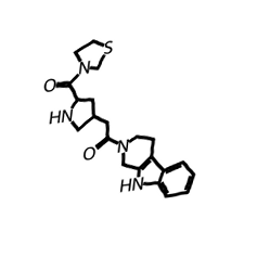 O=C(CC1CNC(C(=O)N2CCSC2)C1)N1CCc2c([nH]c3ccccc23)C1